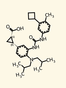 Cc1ccc(NC(=O)Nc2cc([C@@H]3C[C@@H]3C(=O)O)ccc2N(CC(C)C)CC(C)C)cc1C1CCC1